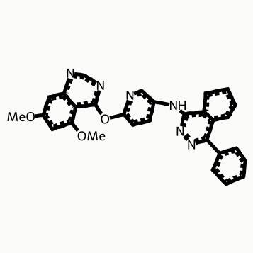 COc1cc(OC)c2c(Oc3ccc(Nc4nnc(-c5ccccc5)c5ccccc45)cn3)ncnc2c1